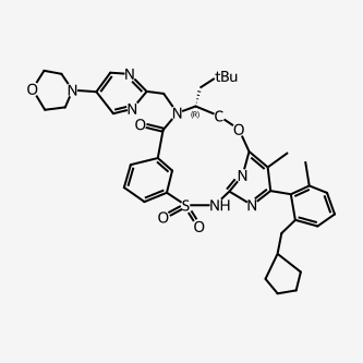 Cc1cccc(CC2CCCC2)c1-c1nc2nc(c1C)OC[C@@H](CC(C)(C)C)N(Cc1ncc(N3CCOCC3)cn1)C(=O)c1cccc(c1)S(=O)(=O)N2